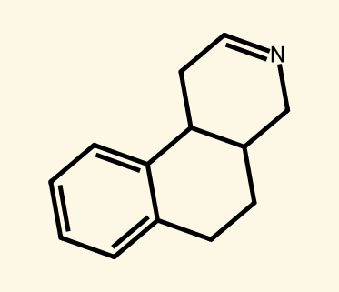 C1=NCC2CCc3ccccc3C2C1